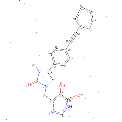 CC(C)N1C(=O)N(Cc2nc[nH]c(=O)c2O)CC1c1ccc(C#Cc2ccccc2)cc1